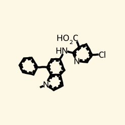 Cn1ccc2cc(Nc3ncc(Cl)cc3C(=O)O)cc(-c3ccccc3)c21